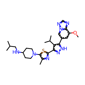 COc1cc(-c2[nH]nc(-c3nc(C)c(N4CCC(NCC(C)C)CC4)s3)c2C(C)C)cn2ncnc12